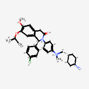 COc1cc2c(cc1OC(C)C)[C@H](c1ccc(Cl)cc1)N(c1ccc(N(C)C[C@H]3CC[C@H](N)CC3)cc1)C(=O)C2